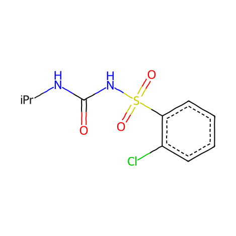 CC(C)NC(=O)NS(=O)(=O)c1ccccc1Cl